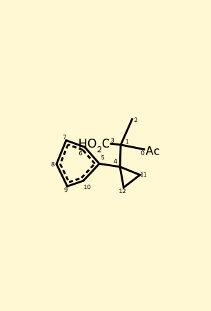 CC(=O)C(C)(C(=O)O)C1(c2ccccc2)CC1